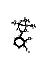 CC1(C)OB(c2cccc(F)c2Cl)OC1(C)C